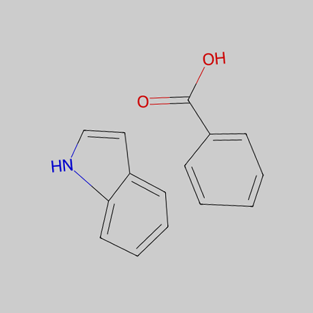 O=C(O)c1ccccc1.c1ccc2[nH]ccc2c1